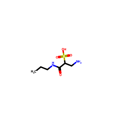 CCCNC(=O)C(CN)S(=O)(=O)O